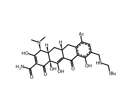 CC(=O)c1cc(CNCC(C)(C)C)c(O)c2c1C[C@H]1C[C@H]3[C@H](N(C)C)C(O)=C(C(N)=O)C(=O)[C@@]3(O)C(O)=C1C2=O